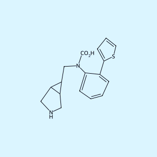 O=C(O)N(CC1C2CNCC21)c1ccccc1-c1cccs1